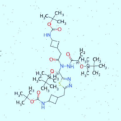 C[C@@H](O[Si](C)(C)C(C)(C)C)C(=O)NN(C(=O)CC1CC(NC(=O)OC(C)(C)C)C1)[C@@H](O[Si](C)(C)C(C)(C)C)c1nnc(CC2CC(NC(=O)OC(C)(C)C)C2)s1